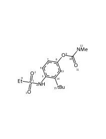 CCS(=O)(=O)Nc1ccc(OC(=O)NC)cc1C(C)(C)C